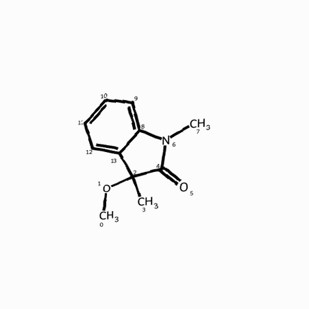 COC1(C)C(=O)N(C)c2ccccc21